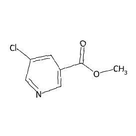 COC(=O)c1cncc(Cl)c1